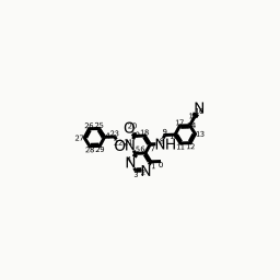 Cc1ncnc2c1c(NCc1cccc(C#N)c1)cc(=O)n2OCc1ccccc1